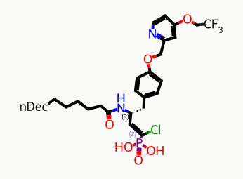 CCCCCCCCCCCCCCCC(=O)N[C@@H](/C=C(\Cl)P(=O)(O)O)Cc1ccc(OCc2cc(OCC(F)(F)F)ccn2)cc1